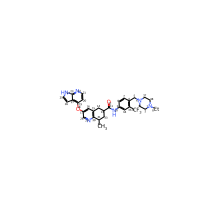 CCN1CCN(Cc2ccc(NC(=O)C3Cc4cc(Oc5ccnc6[nH]ccc56)cnc4C(C)C3)cc2C(F)(F)F)CC1